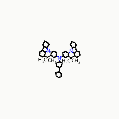 CC1(C)c2cc(N(c3ccc(-c4ccccc4)cc3)c3ccc4c(c3)C(C)(C)c3cccc5c6ccccc6n-4c35)ccc2-n2c3ccccc3c3cccc1c32